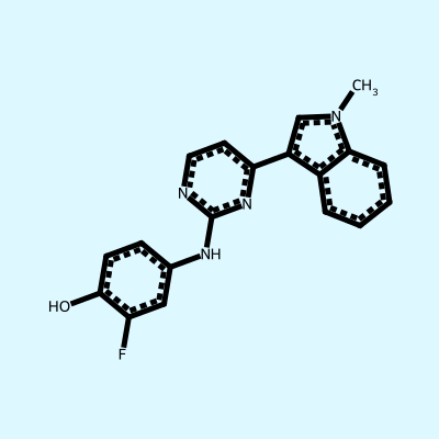 Cn1cc(-c2ccnc(Nc3ccc(O)c(F)c3)n2)c2ccccc21